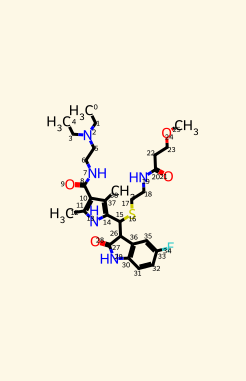 CCN(CC)CCNC(=O)c1c(C)[nH]c(C(SCCNC(=O)CCOC)C2C(=O)Nc3ccc(F)cc32)c1C